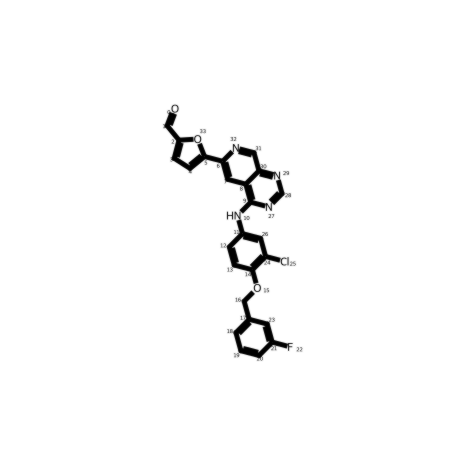 O=Cc1ccc(-c2cc3c(Nc4ccc(OCc5cccc(F)c5)c(Cl)c4)ncnc3cn2)o1